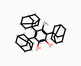 Cc1c(C23CC4CC(CC(C4)C2)C3)c(O)c(O)c(C23CC4CC(CC(C4)C2)C3)c1C12CC3CC(CC(C3)C1)C2